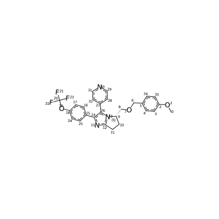 COc1ccc(COC[C@@H]2CCc3nc(-c4ccc(OC(F)(F)F)cc4)c(-c4ccncc4)n32)cc1